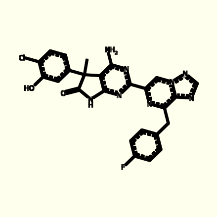 CC1(c2ccc(Cl)c(O)c2)C(=O)Nc2nc(-c3cn4ncnc4c(Cc4ccc(F)cc4)n3)nc(N)c21